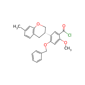 COc1cc(OCc2ccccc2)c([C@H]2COc3cc(C)ccc3C2)cc1C(=O)Cl